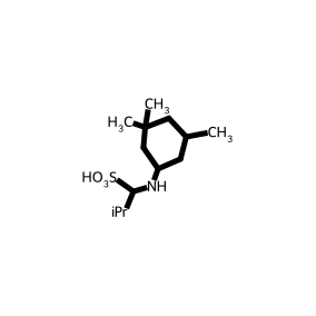 CC1CC(NC(C(C)C)S(=O)(=O)O)CC(C)(C)C1